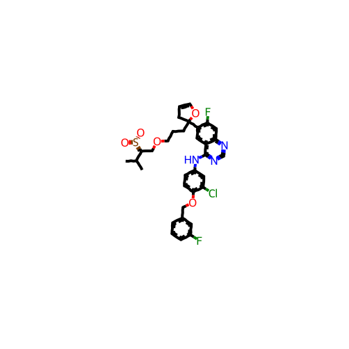 CC(C)C(COCCCC1(c2cc3c(Nc4ccc(OCc5cccc(F)c5)c(Cl)c4)ncnc3cc2F)CC=CO1)=S(=O)=O